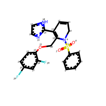 O=S(=O)(c1ccccc1)N1CC=CC(c2ncc[nH]2)=C1COc1ccc(F)cc1F